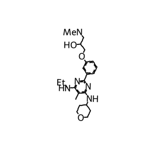 CCNc1nc(-c2cccc(OCC(O)CNC)c2)nc(NC2CCOCC2)c1C